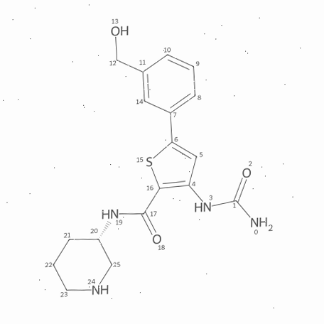 NC(=O)Nc1cc(-c2cccc(CO)c2)sc1C(=O)N[C@H]1CCCNC1